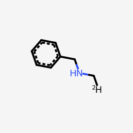 [2H]CNCc1ccccc1